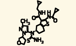 Cc1cc(N(C(N)=S)[C@H]2CCc3sc(NC(=O)C4CC4)c(C(=O)NCC4CC4)c3C2)n(C2CCOC2)n1